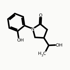 CC(O)C1CC(=O)N(c2ccccc2O)C1